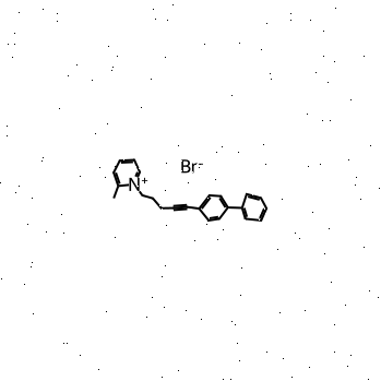 Cc1cccc[n+]1CCCC#Cc1ccc(-c2ccccc2)cc1.[Br-]